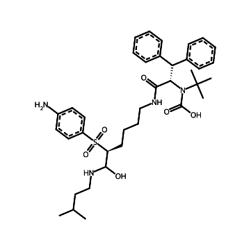 CC(C)CCNC(O)[C@H](CCCCNC(=O)[C@H](C(c1ccccc1)c1ccccc1)N(C(=O)O)C(C)(C)C)S(=O)(=O)c1ccc(N)cc1